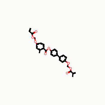 C=CC(=O)OCOc1ccc(C(=O)Oc2ccc(-c3ccc(OCOC(=O)C(=C)C)cc3)cc2)c(C)c1